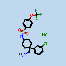 Cl.NCC1(c2cccc(Cl)c2)CCC(NS(=O)(=O)c2ccc(OC(F)(F)F)cc2)CC1